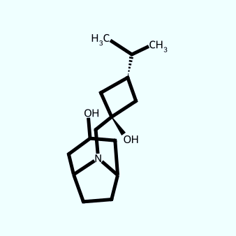 CC(C)[C@H]1C[C@@](O)(CN2C3CCC2CC(O)C3)C1